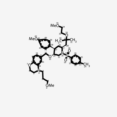 COCCCN1CCOc2ccc(CO[C@H]3CN(S(=O)(=O)c4ccc(C)cc4)[C@H](CC(C)(C)OCCOC)C[C@@H]3c3ccc(OC)cc3)cc21